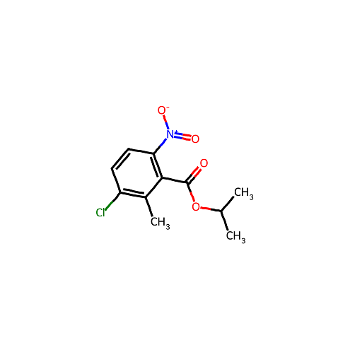 Cc1c(Cl)ccc([N+](=O)[O-])c1C(=O)OC(C)C